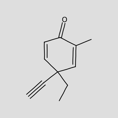 C#CC1(CC)C=CC(=O)C(C)=C1